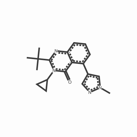 Cn1cc(-c2cccc3nc(C(C)(C)C)n(C4CC4)c(=O)c23)cn1